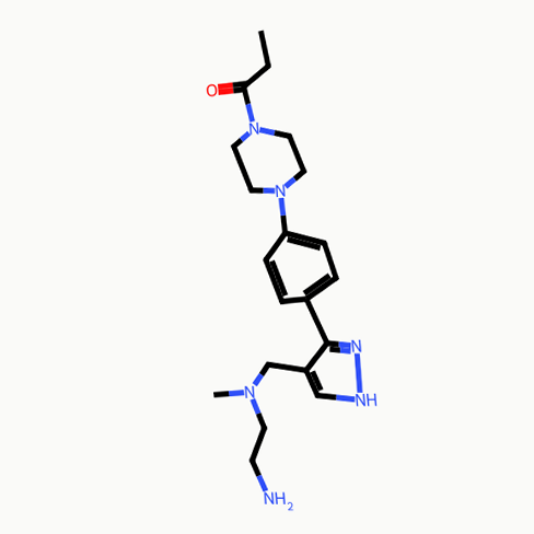 CCC(=O)N1CCN(c2ccc(-c3n[nH]cc3CN(C)CCN)cc2)CC1